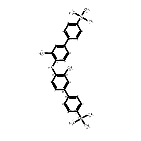 Cc1cc(-c2ccc([Si](C)(C)C)cc2)ccc1Sc1ccc(-c2ccc([Si](C)(C)C)cc2)cc1C